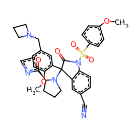 COc1ccc(S(=O)(=O)N2C(=O)C(c3cc(CN4CCC4)ccc3OC)(N3CCC[C@H]3c3ncco3)c3cc(C#N)ccc32)cc1